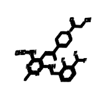 C/C(=C\c1c(NC=O)nc(C)nc1NCc1cccc(C(F)F)c1F)C1=CCN(C(=O)CC#N)CC1